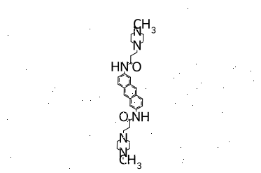 CN1CCN(CCC(=O)Nc2ccc3cc4cc(NC(=O)CCN5CCN(C)CC5)ccc4cc3c2)CC1